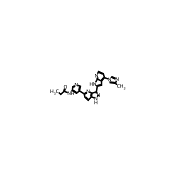 CCC(=O)Nc1cncc(-c2ccc3[nH]nc(-c4cc5c(-n6cnc(C)c6)ccnc5[nH]4)c3n2)c1